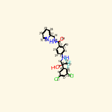 Cc1cc(NCC(O)(c2cc(Cl)cc(Cl)c2)C(F)(F)F)ccc1C(=O)NCc1ccccn1